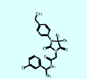 CCCC(NC(=O)CN1C(=O)N(c2ccc(CO)cc2)C(CC)(CC)C1=O)c1cccc(Cl)c1